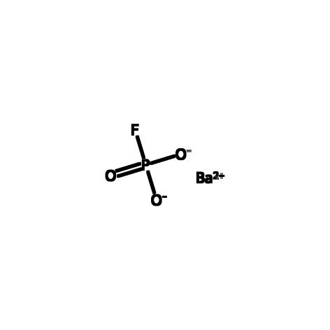 O=P([O-])([O-])F.[Ba+2]